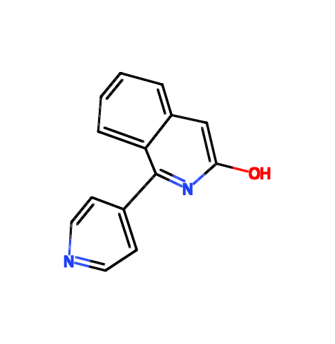 Oc1cc2ccccc2c(-c2ccncc2)n1